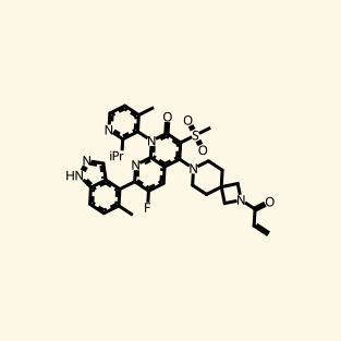 C=CC(=O)N1CC2(CCN(c3c(S(C)(=O)=O)c(=O)n(-c4c(C)ccnc4C(C)C)c4nc(-c5c(C)ccc6[nH]ncc56)c(F)cc34)CC2)C1